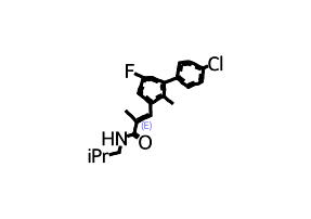 C/C(=C\c1cc(F)cc(-c2ccc(Cl)cc2)c1C)C(=O)NCC(C)C